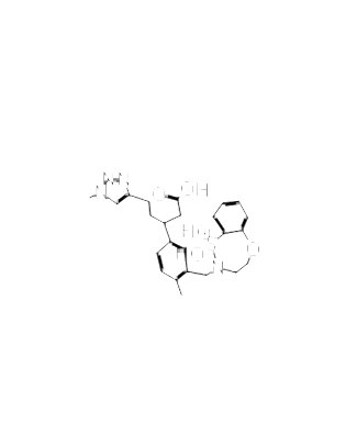 Cc1ccc(C(CCc2cn(C)nn2)CC(=O)O)cc1CN1C[C@@H](C)Oc2ccccc2S1(O)O